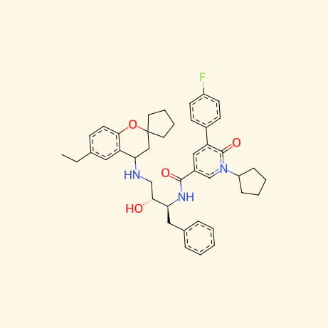 CCc1ccc2c(c1)C(NC[C@@H](O)[C@H](Cc1ccccc1)NC(=O)c1cc(-c3ccc(F)cc3)c(=O)n(C3CCCC3)c1)CC1(CCCC1)O2